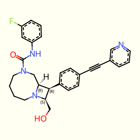 O=C(Nc1cccc(F)c1)N1CCCCN2[C@H](CO)[C@H](c3ccc(C#Cc4cccnc4)cc3)[C@@H]2C1